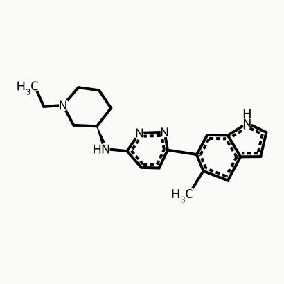 CCN1CCC[C@@H](Nc2ccc(-c3cc4[nH]ccc4cc3C)nn2)C1